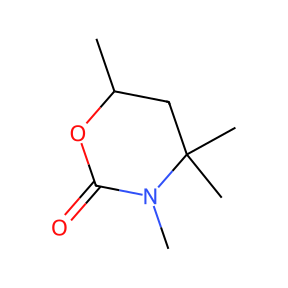 CC1CC(C)(C)N(C)C(=O)O1